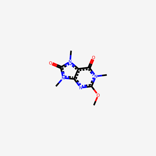 COc1nc2c(c(=O)n1C)n(C)c(=O)n2C